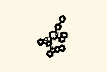 C[C@@H]1CC/C(c2ccc(-c3ccccc3)cc2)=N\C(c2cccc3ccccc23)=N/C1c1cc(-n2c3ccccc3c3cc4ccccc4cc32)cc2c1oc1ccccc12